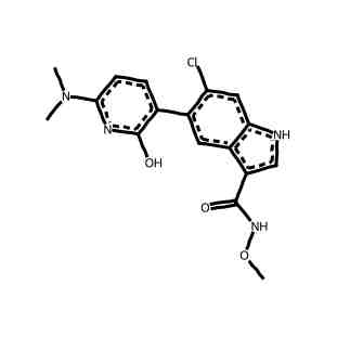 CONC(=O)c1c[nH]c2cc(Cl)c(-c3ccc(N(C)C)nc3O)cc12